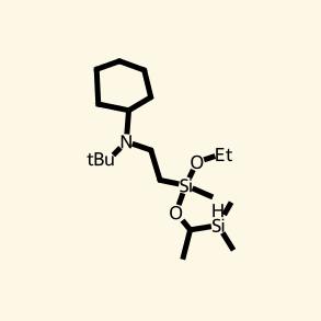 CCO[Si](C)(CCN(C1CCCCC1)C(C)(C)C)OC(C)[SiH](C)C